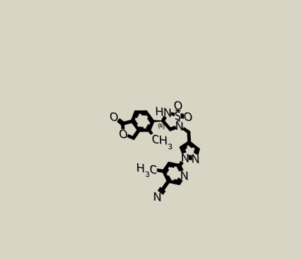 Cc1cc(-n2cc(CN3C[C@@H](c4ccc5c(c4C)COC5=O)NS3(=O)=O)cn2)ncc1C#N